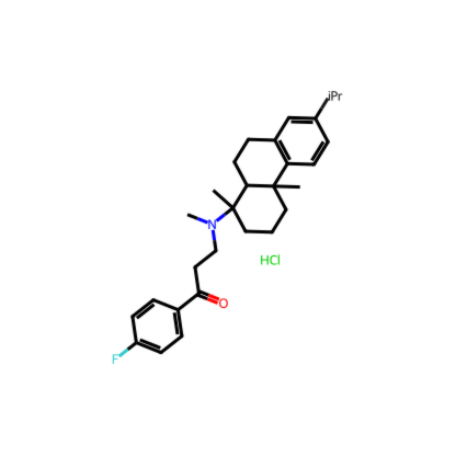 CC(C)c1ccc2c(c1)CCC1C2(C)CCCC1(C)N(C)CCC(=O)c1ccc(F)cc1.Cl